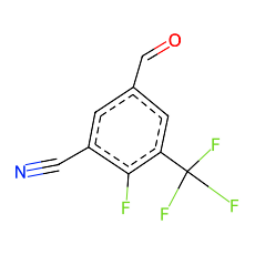 N#Cc1cc(C=O)cc(C(F)(F)F)c1F